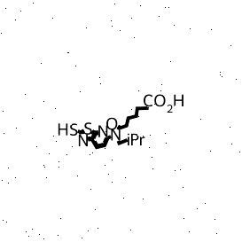 CC(C)CN(C(=O)CCCCCC(=O)O)c1ccc2nc(S)sc2n1